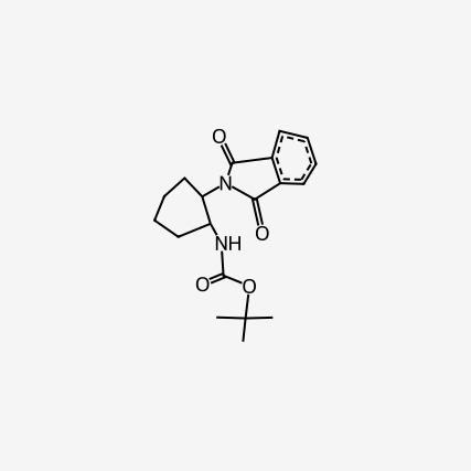 CC(C)(C)OC(=O)NC1CCCCC1N1C(=O)c2ccccc2C1=O